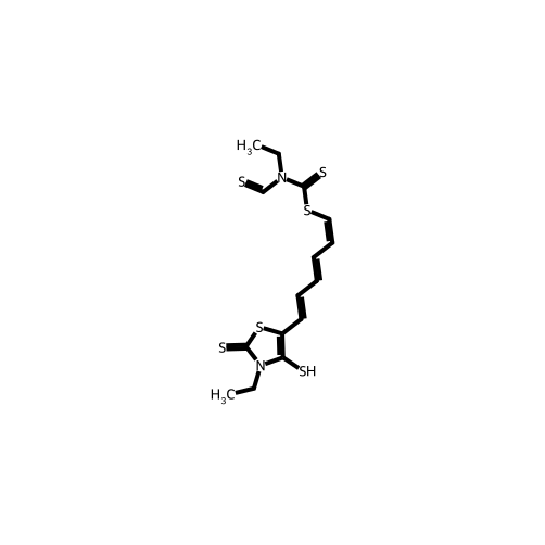 CCN(C=S)C(=S)S\C=C/C=C/C=C/c1sc(=S)n(CC)c1S